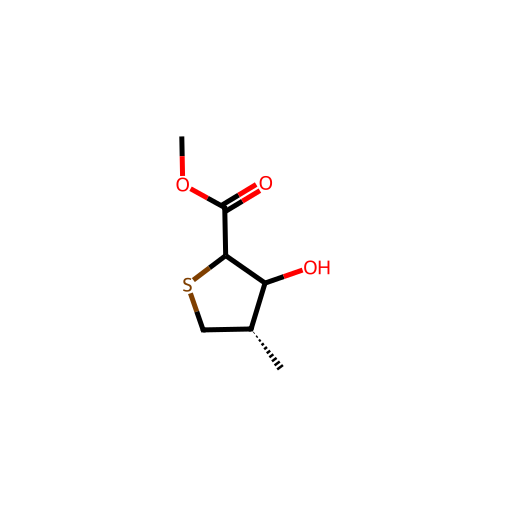 COC(=O)C1SC[C@@H](C)C1O